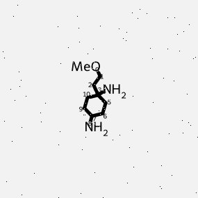 COCCC1(N)CCC(N)CC1